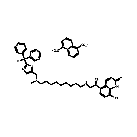 CN(CCCCCCCCCNCC(O)c1ccc(O)c2[nH]c(=O)ccc12)Cc1cnc(C(O)(c2ccccc2)c2ccccc2)o1.O=S(=O)(O)c1cccc2c(S(=O)(=O)O)cccc12